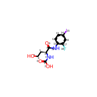 O=C(O)N[C@@H](CCO)C(=O)Nc1ccc(I)cc1F